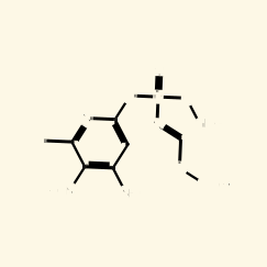 CCCCCCCCCCSP(=O)(N=COCCCCCC)Oc1cc([N+](=O)[O-])c([N+](=O)[O-])c(Cl)n1